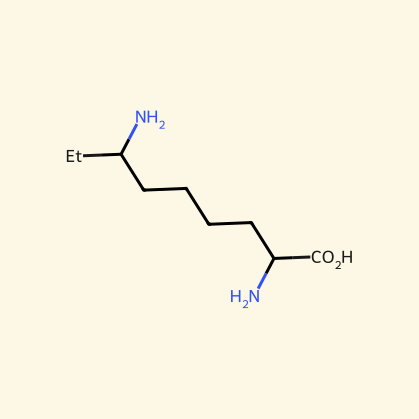 CCC(N)CCCCC(N)C(=O)O